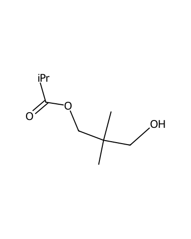 CC(C)C(=O)OCC(C)(C)CO